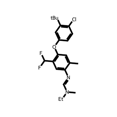 CCN(C)/C=N/c1cc(C(F)F)c(Oc2ccc(Cl)c(C(C)(C)C)c2)cc1C